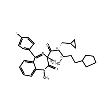 CN1C(=O)C(N)(C(=O)[C@H](CC2CC2)[C@@H](O)CCC2CCCC2)N=C(c2ccc(F)cc2)c2ccccc21